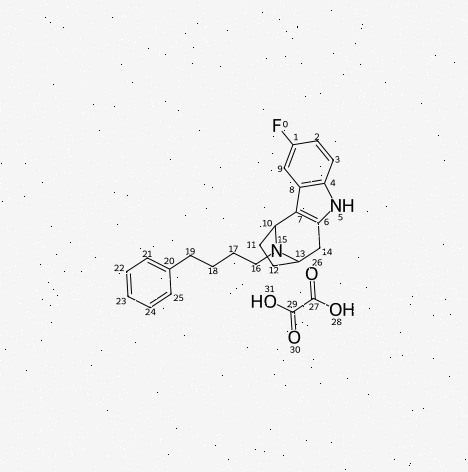 Fc1ccc2[nH]c3c(c2c1)C1CCC(C3)N1CCCCc1ccccc1.O=C(O)C(=O)O